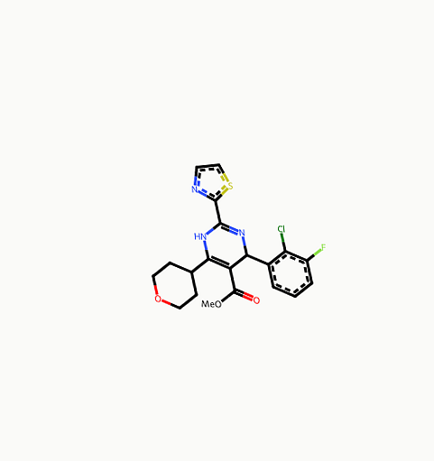 COC(=O)C1=C(C2CCOCC2)NC(c2nccs2)=NC1c1cccc(F)c1Cl